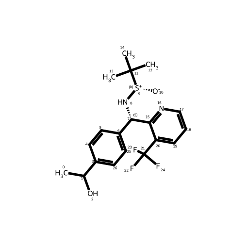 CC(O)c1ccc([C@H](N[S@@+]([O-])C(C)(C)C)c2ncccc2C(F)(F)F)cc1